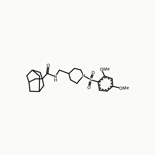 COc1ccc(S(=O)(=O)N2CCC(CNC(=O)C34CC5CC(CC(C5)C3)C4)CC2)c(OC)c1